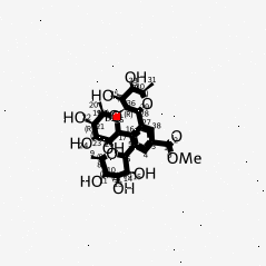 COC(=O)c1cc(C2O[C@H](C)[C@H](O)[C@H](O)[C@H]2O)c(C2O[C@H](C)[C@H](O)[C@H](O)[C@H]2O)c(C2O[C@H](C)[C@H](O)[C@H](O)[C@H]2O)c1